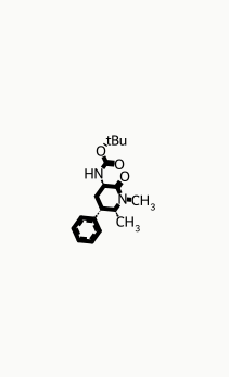 C[C@@H]1[C@H](c2ccccc2)C[C@H](NC(=O)OC(C)(C)C)C(=O)N1C